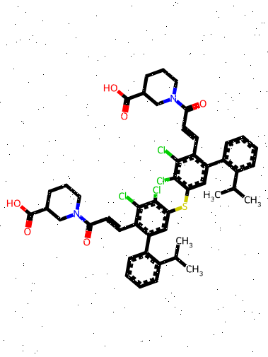 CC(C)c1ccccc1-c1cc(Sc2cc(-c3ccccc3C(C)C)c(/C=C/C(=O)N3CCCC(C(=O)O)C3)c(Cl)c2Cl)c(Cl)c(Cl)c1/C=C/C(=O)N1CCCC(C(=O)O)C1